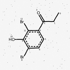 CCC(=O)c1ccc(Br)c(O)c1Br